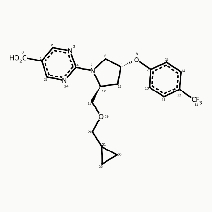 O=C(O)c1cnc(N2C[C@H](Oc3ccc(C(F)(F)F)cc3)C[C@H]2COCC2CC2)nc1